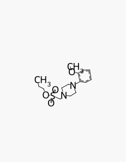 CCCOS(=O)(=O)CN1CCN(c2ccccc2OC)CC1